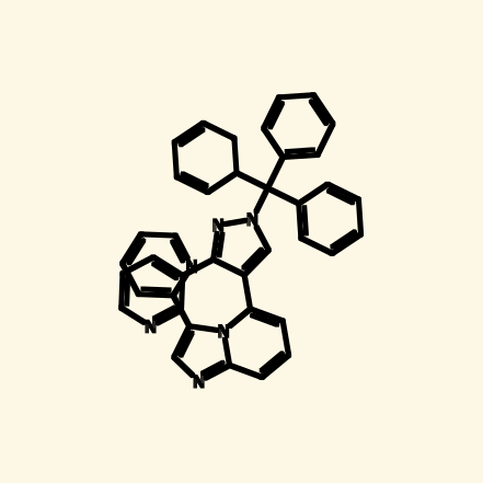 C1=CCC(C(c2ccccc2)(c2ccccc2)n2cc(-c3cccc4ncc(-c5ccccn5)n34)c(-c3cccnc3)n2)C=C1